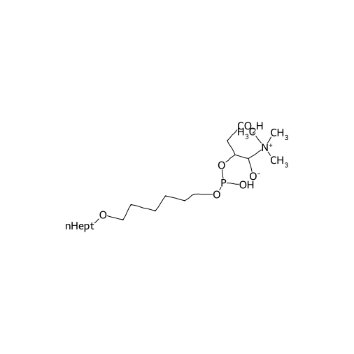 CCCCCCCOCCCCCCOP(O)OC(CC(=O)O)C([O-])[N+](C)(C)C